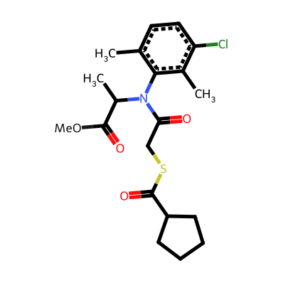 COC(=O)C(C)N(C(=O)CSC(=O)C1CCCC1)c1c(C)ccc(Cl)c1C